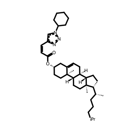 CC(C)CCC[C@@H](C)[C@H]1CC[C@H]2[C@@H]3CC=C4C[C@@H](OC(=O)/C=C\c5cn(C6CCCCC6)nn5)CC[C@]4(C)[C@H]3CC[C@]12C